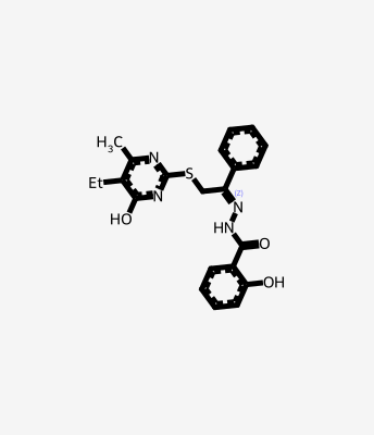 CCc1c(C)nc(SC/C(=N\NC(=O)c2ccccc2O)c2ccccc2)nc1O